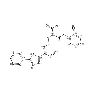 CC(=O)N(CCON(C=O)c1nnc(-c2cccnc2)s1)NCc1ccccc1Cl